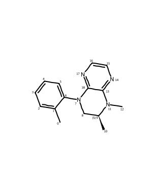 Cc1ccccc1N1C[C@H](C)N(C)c2nccnc21